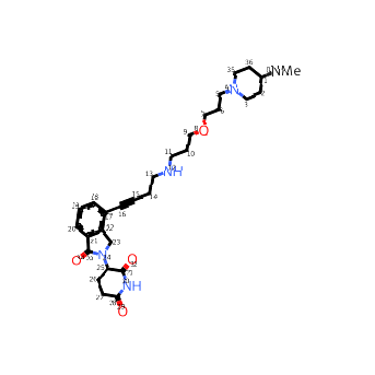 CNC1CCN(CCCOCCCNCCC#Cc2cccc3c2CN(C2CCC(=O)NC2=O)C3=O)CC1